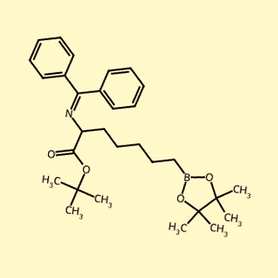 CC(C)(C)OC(=O)C(CCCCCB1OC(C)(C)C(C)(C)O1)N=C(c1ccccc1)c1ccccc1